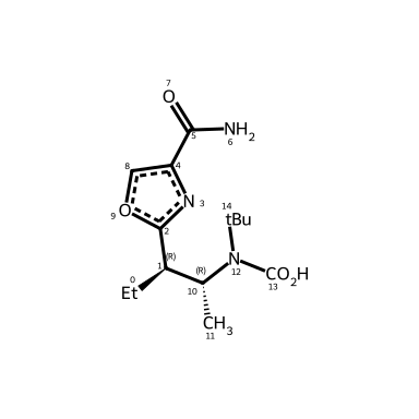 CC[C@@H](c1nc(C(N)=O)co1)[C@@H](C)N(C(=O)O)C(C)(C)C